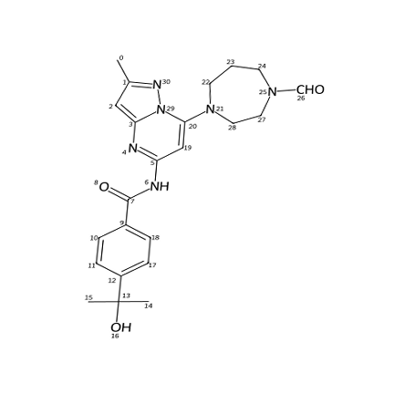 Cc1cc2nc(NC(=O)c3ccc(C(C)(C)O)cc3)cc(N3CCCN(C=O)CC3)n2n1